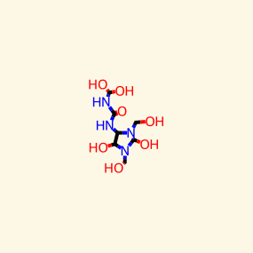 O=C(NC(O)O)NC1C(O)N(CO)C(O)N1CO